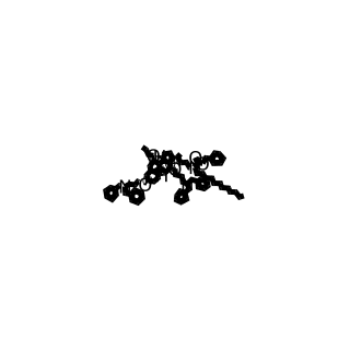 CCCCCCCCCCCCN(CCCC(C)[C@H]1CC[C@H]2C3[C@H](OCCC)CC4C[C@H](OCCCN(Cc5ccccc5)Cc5ccccc5)CCC4(C)[C@H]3C[C@H](OCCCN(Cc3ccccc3)Cc3ccccc3)[C@]12C)C(=O)OCc1ccccc1